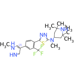 CN/C=C(\C=N)c1ccc(-c2nnc(N(C)C3CC(C)(C)NC(C)(C)C3)s2)c(C(F)(F)F)c1